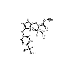 CCCCC(F)(F)c1ccc(Cc2noc(CC(C(=O)OC(C)(C)C)P(C)(=O)OCC)n2)cc1